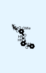 COc1cc(C(=O)NC(=S)Nc2cccc(NC(=O)c3ccccc3)c2C)cc(OCN=[N+]=[N-])c1OC